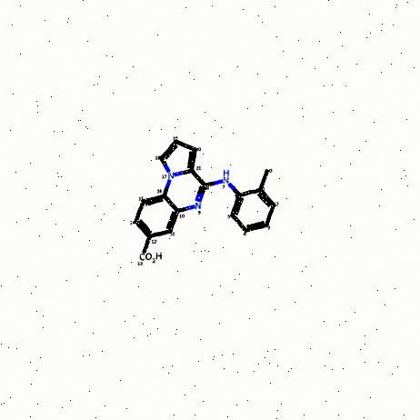 Cc1ccccc1Nc1nc2cc(C(=O)O)ccc2n2cccc12